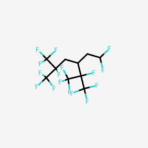 FC(F)CC(CC(F)(C(F)(F)F)C(F)(F)F)C(F)(C(F)(F)F)C(F)(F)F